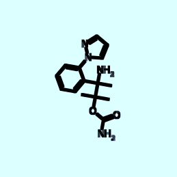 CC(C)(OC(N)=O)C(C)(N)c1ccccc1-n1cccn1